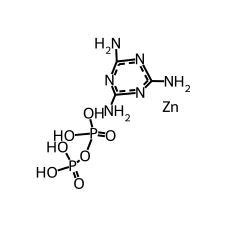 Nc1nc(N)nc(N)n1.O=P(O)(O)OP(=O)(O)O.[Zn]